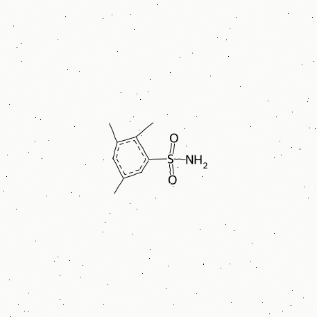 Cc1cc(C)c(C)c(S(N)(=O)=O)c1